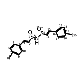 [O-][S+](C=Cc1ccc(I)cc1)N[S+]([O-])C=Cc1ccc(I)cc1